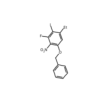 CCc1cc(OCc2ccccc2)c([N+](=O)[O-])c(F)c1I